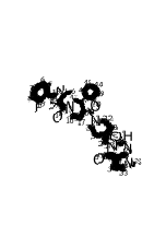 Cc1nc(-c2ccccc2F)sc1C(=O)N1CC[C@@H](C(=O)N2CCC(O)(Cn3cnc4c(ccn4C)c3=O)CC2)[C@H](c2ccccc2)C1